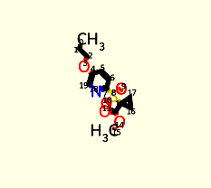 CCCOc1ccc(S(=O)(=O)C2(C(=O)OC)CC2)nc1